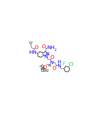 C[C@H](CO[Si](C)(C)C(C)(C)C)N(CC(=O)NCc1cccc(Cl)c1F)C(=O)Cn1nc(C(N)=O)c2cc(NC(=O)CC3CC3)ccc21